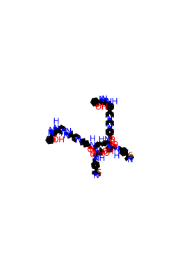 Cc1ncsc1-c1ccc(CNC(=O)[C@@H]2C[C@@H](O)CN2C(=O)[C@@H](NC(=O)C2CCC(N3CCC(N4CCC(c5ccc6[nH]c7nnc(-c8ccccc8O)cc7c6c5)CC4)CC3)CC2)C(C)(C)CCC(C)(C)[C@H](NC(=O)C2CC3(C2)CC(N2CCC(c4cnc(N5CCc6[nH]c7nnc(-c8ccccc8O)cc7c6[C@H]5C)nc4)CC2)C3)C(=O)N2C[C@H](O)C[C@H]2C(=O)NCc2ccc(-c3scnc3C)cc2)cc1